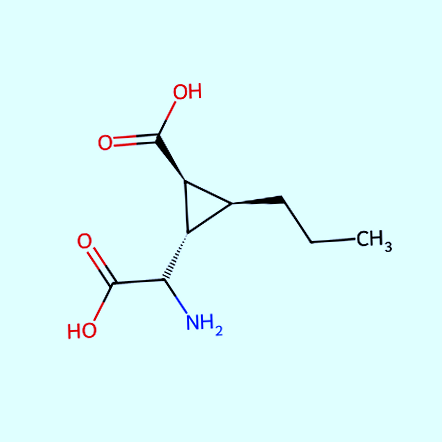 CCC[C@@H]1[C@H](C(=O)O)[C@H]1C(N)C(=O)O